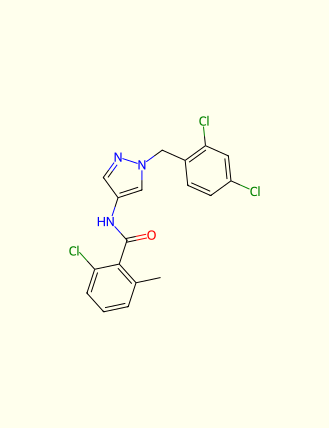 Cc1cccc(Cl)c1C(=O)Nc1cnn(Cc2ccc(Cl)cc2Cl)c1